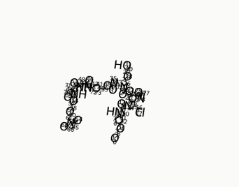 COCCOc1ccc2[nH]c(C(=O)N3CC(CCl)c4c3cc(OC(=O)N(CCOCCO)CCN(C)C(=O)OCc3ccc(NC(=O)[C@H](C)NC(=O)[C@@H](NC(=O)OCCOCCN5C(=O)C=CC5=O)C(C)C)cc3)c3oc(C)nc43)cc2c1